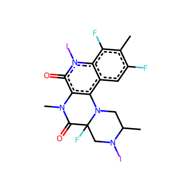 Cc1c(F)cc2c3c(c(=O)n(I)c2c1F)N(C)C(=O)C1(F)CN(I)C(C)CN31